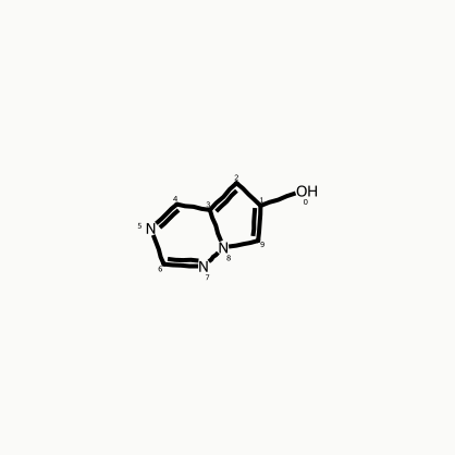 Oc1cc2cncnn2c1